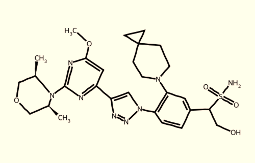 COc1cc(-c2cn(-c3ccc(C(CO)S(N)(=O)=O)cc3N3CCC4(CC3)CC4)nn2)nc(N2[C@H](C)COC[C@@H]2C)n1